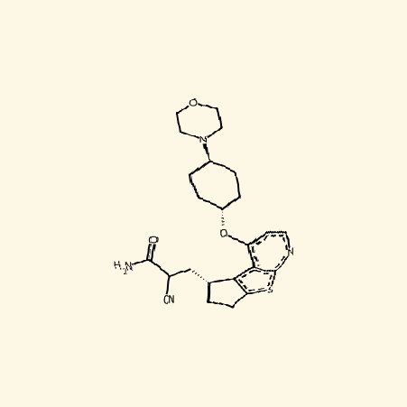 N#CC(C[C@H]1CCc2sc3nccc(O[C@H]4CC[C@H](N5CCOCC5)CC4)c3c21)C(N)=O